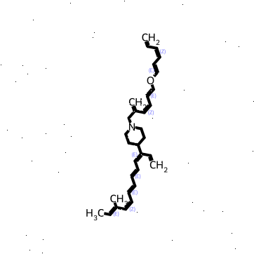 C=C/C=C\C=C\O/C=C/C=C\C(=C)CN1CCC(/C(C=C)=C/C=C/C=C/C=C\C(C)=C\C)CC1